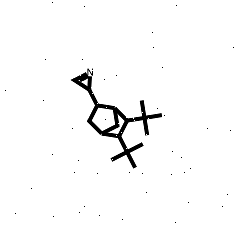 CC(C)(C)C1C2CC(C3C=N3)C(C2)C1C(C)(C)C